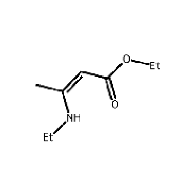 CCN/C(C)=C\C(=O)OCC